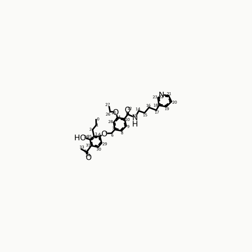 CCCc1c(OCc2ccc(C(=O)NCCCCc3cccnc3)c(OCC)c2)ccc(C(C)=O)c1O